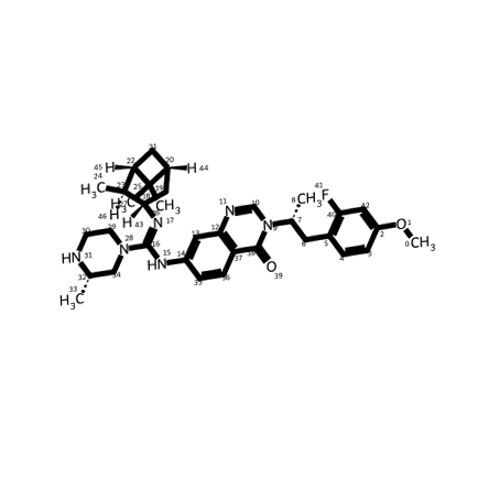 COc1ccc(C[C@@H](C)n2cnc3cc(NC(=N[C@H]4C[C@H]5C[C@@H]([C@@H]4C)C5(C)C)N4CCN[C@@H](C)C4)ccc3c2=O)c(F)c1